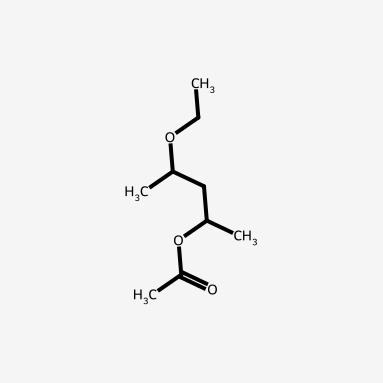 CCOC(C)CC(C)OC(C)=O